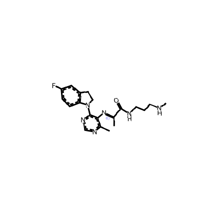 CNCCCNC(=O)/C(C)=N/c1c(C)ncnc1N1CCc2cc(F)ccc21